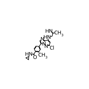 CC(=N)CNc1cc(Cl)nn2c(-c3ccc(C(=O)NC4CC4)c(C)c3)cnc12